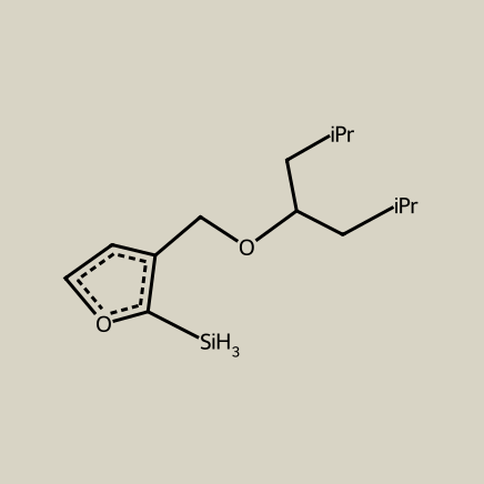 CC(C)CC(CC(C)C)OCc1ccoc1[SiH3]